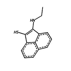 CCNC1=C(S)c2cccc3cccc1c23